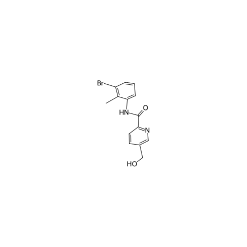 Cc1c(Br)cccc1NC(=O)c1ccc(CO)cn1